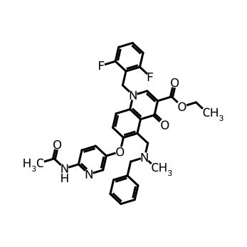 CCOC(=O)c1cn(Cc2c(F)cccc2F)c2ccc(Oc3ccc(NC(C)=O)nc3)c(CN(C)Cc3ccccc3)c2c1=O